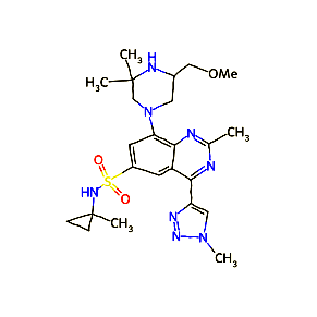 COCC1CN(c2cc(S(=O)(=O)NC3(C)CC3)cc3c(-c4cn(C)nn4)nc(C)nc23)CC(C)(C)N1